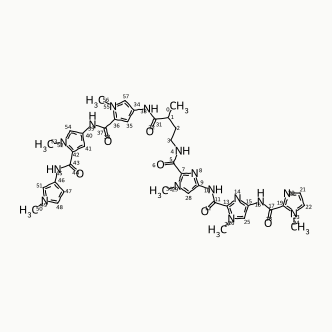 CC(CCNC(=O)c1nc(NC(=O)c2nc(NC(=O)c3nccn3C)cn2C)cn1C)C(=O)Nc1cc(C(=O)Nc2cc(C(=O)Nc3ccn(C)c3)n(C)c2)n(C)c1